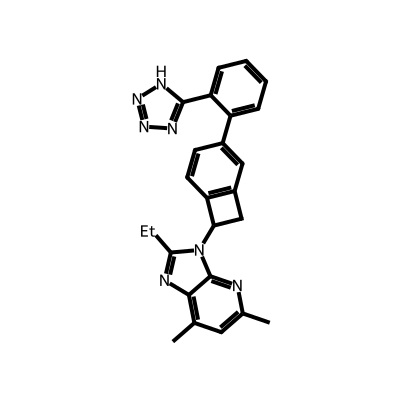 CCc1nc2c(C)cc(C)nc2n1C1Cc2cc(-c3ccccc3-c3nnn[nH]3)ccc21